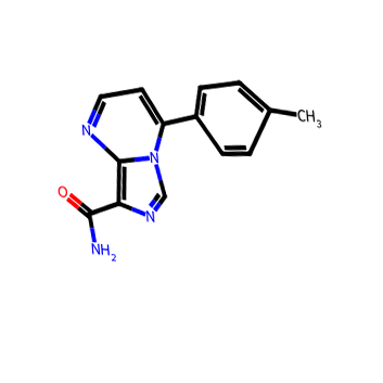 Cc1ccc(-c2ccnc3c(C(N)=O)ncn23)cc1